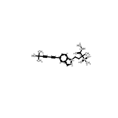 CC(C)(O)C#CC#Cc1ccc2c(cnn2CCC(C)(C(=O)NO)S(C)(=O)=O)c1